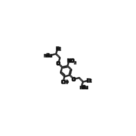 [CH]c1cc(OCC(CC)CCCC)c([N+](=O)[O-])cc1OCC(CC)CCCC